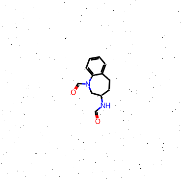 O=CNC1CCc2ccccc2N(C=O)C1